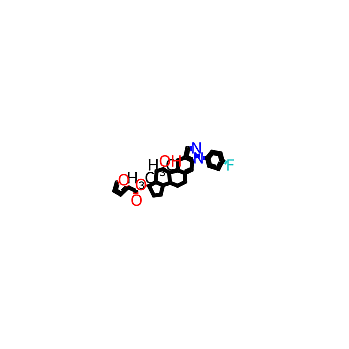 CC12Cc3cnn(-c4ccc(F)cc4)c3C=C1CCC1C2[C@@H](O)CC2(C)C1CC[C@H]2OC(=O)c1ccco1